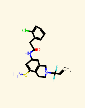 C=CC(F)(F)N1CCc2c(cc(NC(=O)Cc3ccccc3Cl)cc2SN)C1